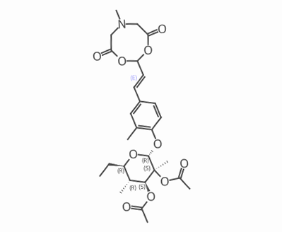 CC[C@H]1O[C@H](Oc2ccc(/C=C/C3OC(=O)CN(C)CC(=O)O3)cc2C)[C@@](C)(OC(C)=O)[C@@H](OC(C)=O)[C@@H]1C